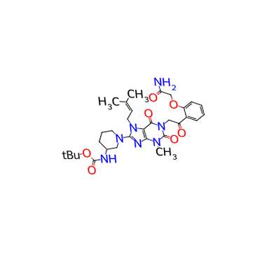 CC(C)=CCn1c(N2CCCC(NC(=O)OC(C)(C)C)C2)nc2c1c(=O)n(CC(=O)c1ccccc1OCC(N)=O)c(=O)n2C